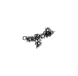 CN(C1CCN(C(=O)[C@H](Cc2ccc(F)cc2)NC(=O)c2cc3cc(Cl)ncc3[nH]2)CC1)S(=O)(=O)c1ccccc1[N+](=O)[O-]